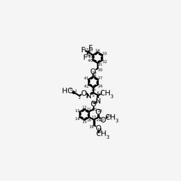 C#CCON=C(C(C)=NOCc1ccccc1C(=COC)C(=O)OC)c1ccc(OCc2cccc(C(F)(F)F)c2)cc1